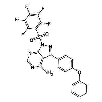 Nc1ncnc2c1c(-c1ccc(Oc3ccccc3)cc1)nn2S(=O)(=O)c1c(F)c(F)c(F)c(F)c1F